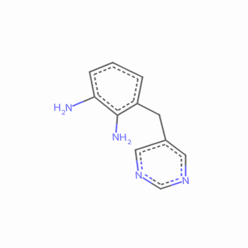 Nc1cccc(Cc2cncnc2)c1N